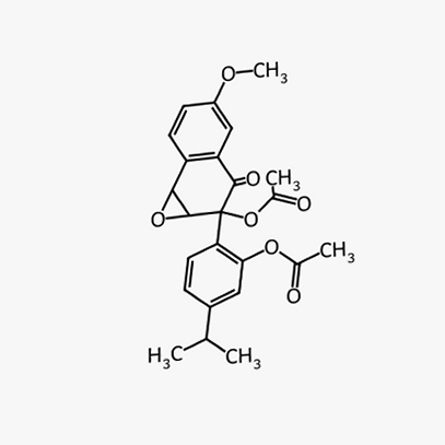 COc1ccc2c(c1)C(=O)C(OC(C)=O)(c1ccc(C(C)C)cc1OC(C)=O)C1OC21